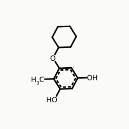 Cc1c(OC2CCCCC2)[c]c(O)cc1O